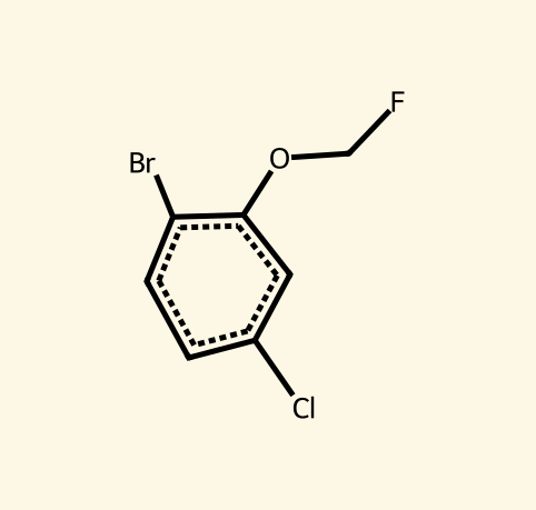 FCOc1cc(Cl)ccc1Br